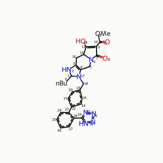 CCCCC1NC2=C(CN3C(=O)C(C(=O)OC)=C(O)C3C2)N1Cc1ccc(-c2ccccc2-c2nnn[nH]2)cc1